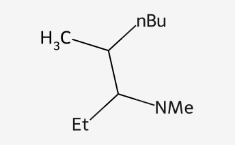 CCCCC(C)C(CC)NC